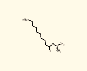 CCCCCCCCCCCCCCCCCC(=O)O[SiH](C)C